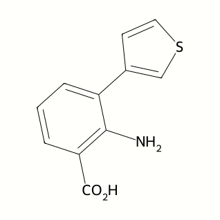 Nc1c(C(=O)O)cccc1-c1ccsc1